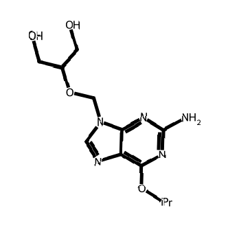 CC(C)Oc1nc(N)nc2c1ncn2COC(CO)CO